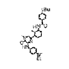 CCN(C)c1ccc(Nc2nc(-c3cccc(NC(=O)c4ccc(C(C)(C)C)cc4)c3C)cn(C)c2=O)cc1